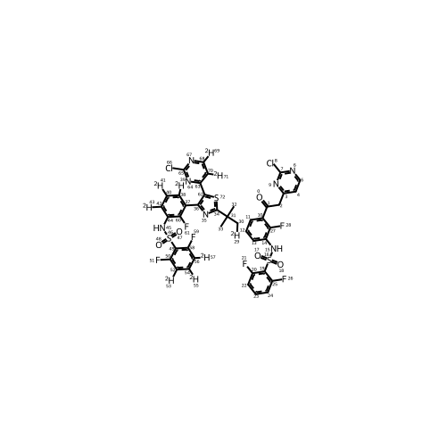 O=C(Cc1ccnc(Cl)n1)c1cccc(NS(=O)(=O)c2c(F)cccc2F)c1F.[2H]CC(C)(C)c1nc(-c2c([2H])c([2H])c([2H])c(NS(=O)(=O)c3c(F)c([2H])c([2H])c([2H])c3F)c2F)c(-c2nc(Cl)nc([2H])c2[2H])s1